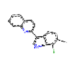 Cc1ccc2c(-c3ccc4ccccc4n3)c[nH]c2c1F